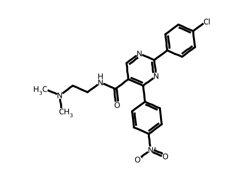 CN(C)CCNC(=O)c1cnc(-c2ccc(Cl)cc2)nc1-c1ccc([N+](=O)[O-])cc1